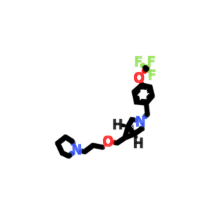 FC(F)(F)Oc1ccc(CN2C[C@@H]3C(COCCCN4CCCCC4)[C@@H]3C2)cc1